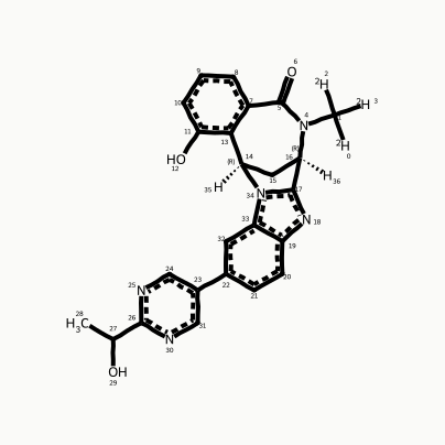 [2H]C([2H])([2H])N1C(=O)c2cccc(O)c2[C@H]2C[C@@H]1c1nc3ccc(-c4cnc(C(C)O)nc4)cc3n12